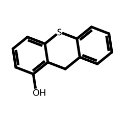 Oc1cccc2c1Cc1ccccc1S2